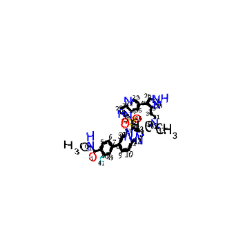 CNC(=O)c1ccc(-c2ccc3ncc(S(=O)(=O)n4ncc5ncc(-c6c[nH]nc6CCN(C)C)cc54)n3c2)cc1F